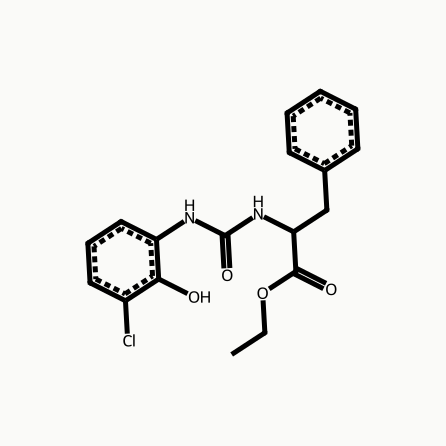 CCOC(=O)C(Cc1ccccc1)NC(=O)Nc1cccc(Cl)c1O